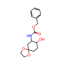 O=C(NC1CC2(CCC1O)OCCO2)OCc1ccccc1